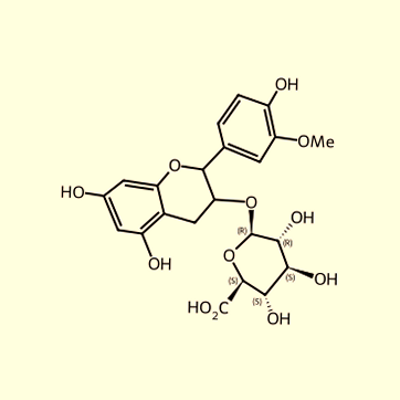 COc1cc(C2Oc3cc(O)cc(O)c3CC2O[C@@H]2O[C@H](C(=O)O)[C@@H](O)[C@H](O)[C@H]2O)ccc1O